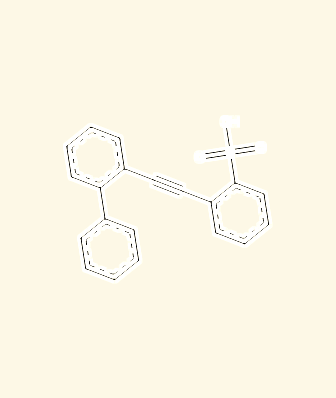 O=S(=O)(O)c1ccccc1C#Cc1ccccc1-c1ccccc1